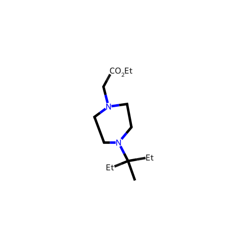 CCOC(=O)CN1CCN(C(C)(CC)CC)CC1